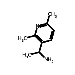 Cc1ccc(C(C)N)c(C)n1